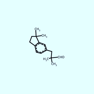 CC(C)(C=O)Cc1ccc2c(c1)C(C)(C)CC2